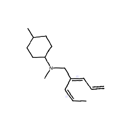 C=C/C=C(\C=C/C)CN(C)C1CCC(C)CC1